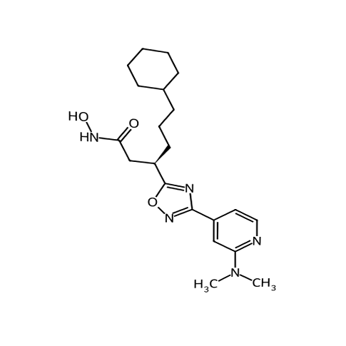 CN(C)c1cc(-c2noc([C@H](CCCC3CCCCC3)CC(=O)NO)n2)ccn1